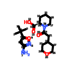 CC(C)(C)c1cc(N)no1.O=C(O)[C@@H]1CCCCN1C(=O)CC1CCOCC1